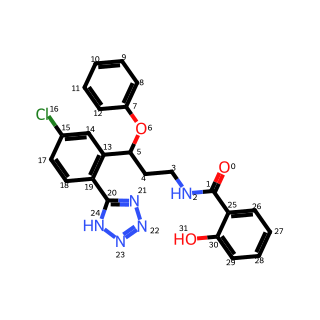 O=C(NCCC(Oc1ccccc1)c1cc(Cl)ccc1-c1nnn[nH]1)c1ccccc1O